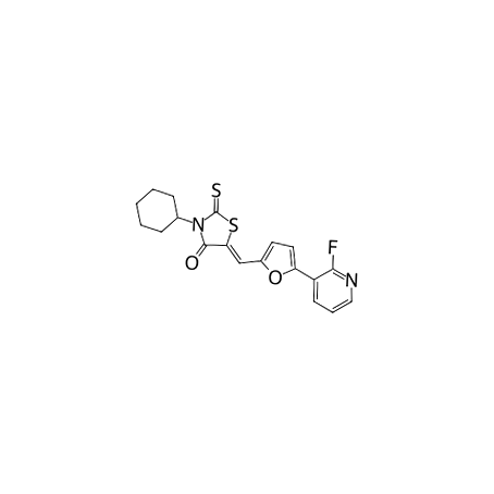 O=C1/C(=C/c2ccc(-c3cccnc3F)o2)SC(=S)N1C1CCCCC1